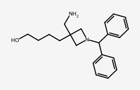 NCC1(CCCCO)CN(C(c2ccccc2)c2ccccc2)C1